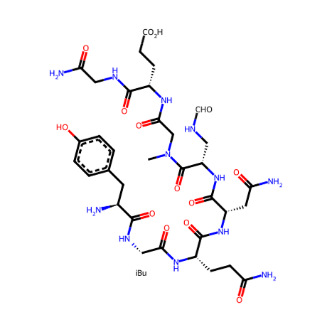 CC[C@H](C)[C@H](NC(=O)[C@@H](N)Cc1ccc(O)cc1)C(=O)N[C@@H](CCC(N)=O)C(=O)N[C@@H](CC(N)=O)C(=O)N[C@@H](CNC=O)C(=O)N(C)CC(=O)N[C@@H](CCC(=O)O)C(=O)NCC(N)=O